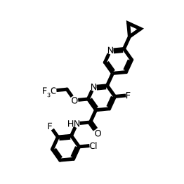 O=C(Nc1c(F)cccc1Cl)c1cc(F)c(-c2ccc(C3CC3)nc2)nc1OCC(F)(F)F